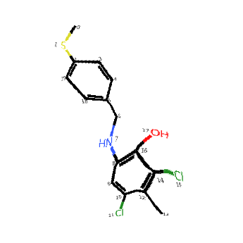 CSc1ccc(CNc2cc(Cl)c(C)c(Cl)c2O)cc1